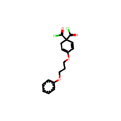 O=C(Cl)C1(C(=O)Cl)C=CC(OCCCOc2ccccc2)=CC1